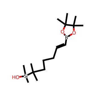 CC1(C)OB(/C=C/CCCC(C)(C)[Si](C)(C)O)OC1(C)C